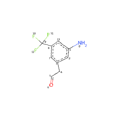 Nc1cc(CC=O)cc(C(F)(F)F)c1